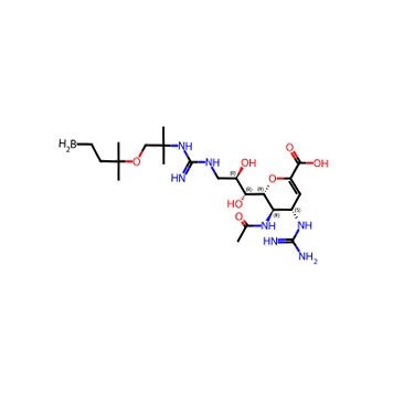 BCCC(C)(C)OCC(C)(C)NC(=N)NC[C@@H](O)[C@@H](O)[C@@H]1OC(C(=O)O)=C[C@H](NC(=N)N)[C@H]1NC(C)=O